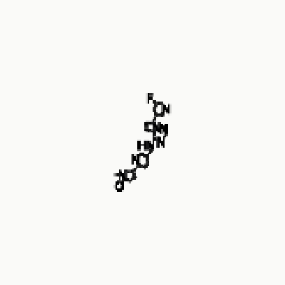 Cn1cc(-c2ccc(CNc3ncnn4c(-c5cncc(F)c5)ccc34)cn2)ccc1=O